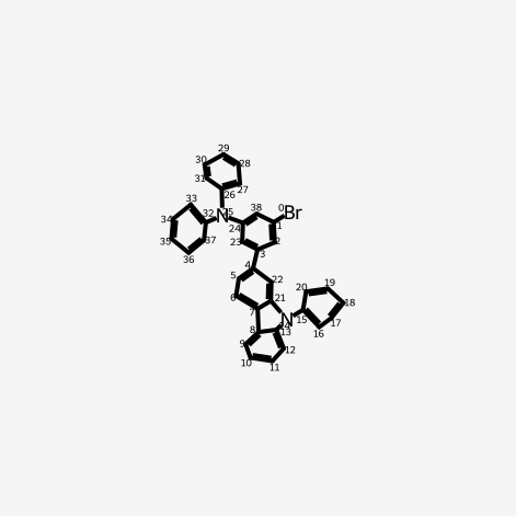 Brc1cc(-c2ccc3c4ccccc4n(-c4ccccc4)c3c2)cc(N(c2ccccc2)c2ccccc2)c1